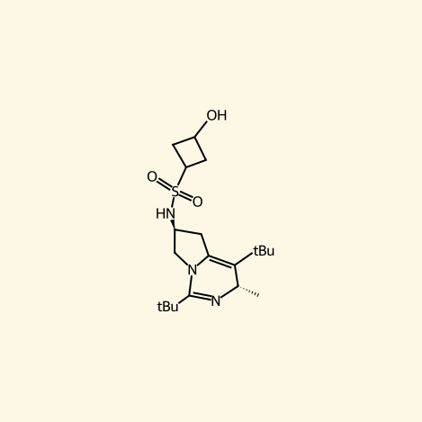 C[C@@H]1N=C(C(C)(C)C)N2C[C@@H](NS(=O)(=O)C3CC(O)C3)CC2=C1C(C)(C)C